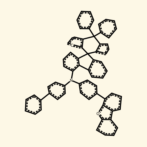 c1ccc(-c2ccc(N(c3ccc(-c4cccc5c4oc4ccccc45)cc3)c3cccc4c3-c3ccccc3C43c4ccccc4C(c4ccccc4)(c4ccccc4)c4ccccc43)cc2)cc1